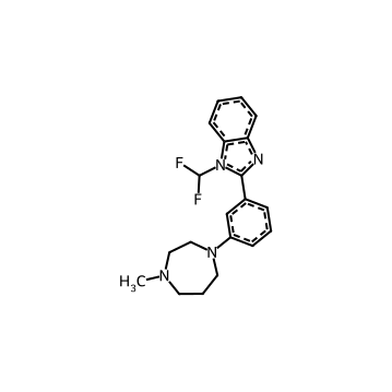 CN1CCCN(c2cccc(-c3nc4ccccc4n3C(F)F)c2)CC1